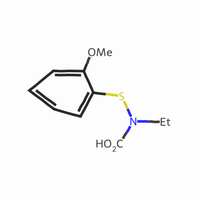 CCN(Sc1ccccc1OC)C(=O)O